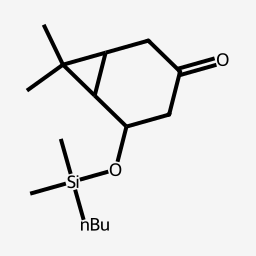 CCCC[Si](C)(C)OC1CC(=O)CC2C1C2(C)C